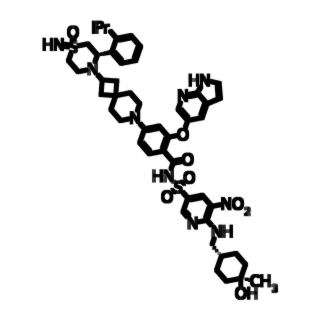 CC(C)c1ccccc1[C@@H]1CS(=N)(=O)CCN1C1CC2(CCN(c3ccc(C(=O)NS(=O)(=O)c4cnc(NC[C@H]5CC[C@](C)(O)CC5)c([N+](=O)[O-])c4)c(Oc4cnc5[nH]ccc5c4)c3)CC2)C1